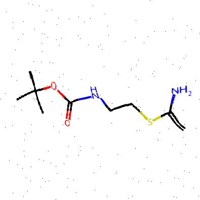 C=C(N)SCCNC(=O)OC(C)(C)C